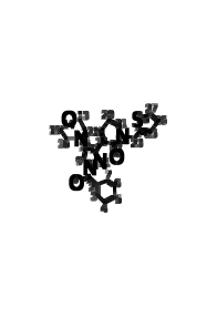 O=C(c1ccccc1)n1cc(N2CCOCC2)c(-c2cccn(Cc3cccs3)c2=O)n1